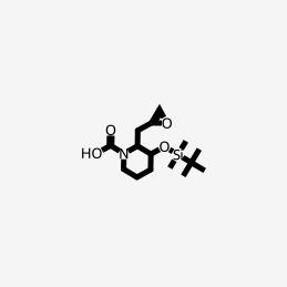 CC(C)(C)[Si](C)(C)OC1CCCN(C(=O)O)C1CC1=CO1